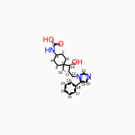 O=C(O)NC1CCC2(CC1)C[C@@H]([C@H]1c3ccccc3-c3cncn31)[C@@H]2O